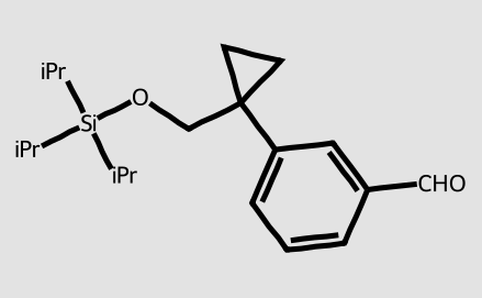 CC(C)[Si](OCC1(c2cccc(C=O)c2)CC1)(C(C)C)C(C)C